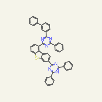 c1ccc(-c2cccc(-c3nc(-c4ccccc4)nc(-c4cccc5sc6cc(-c7nc(-c8ccccc8)nc(-c8ccccc8)n7)ccc6c45)n3)c2)cc1